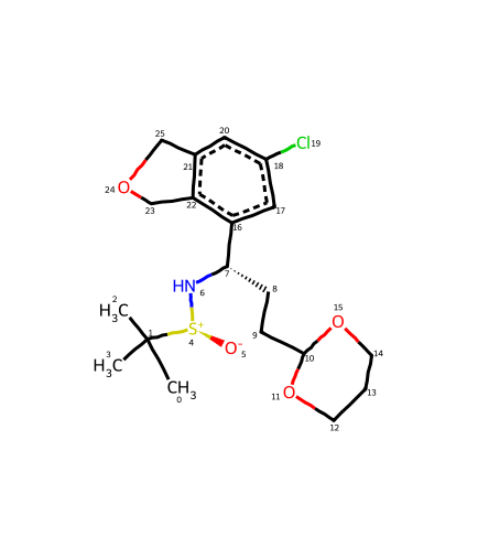 CC(C)(C)[S@+]([O-])N[C@@H](CCC1OCCCO1)c1cc(Cl)cc2c1COC2